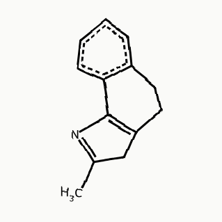 CC1=NC2=C(CCc3ccccc32)C1